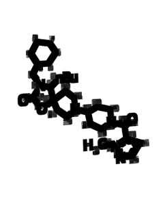 CCCCC1N(CC2CCCCC2)C(=O)OC12CCN(C1CCN(C(=O)c3ccnn3C)CC1)CC2